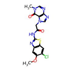 COc1cc2nc(NC(=O)Cn3cnc4ncn(C)c(=O)c43)sc2cc1Cl